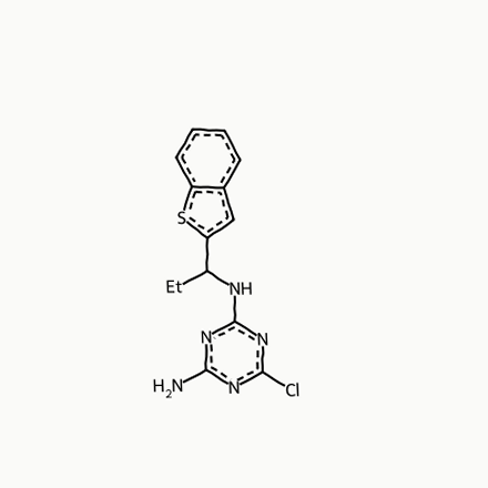 CCC(Nc1nc(N)nc(Cl)n1)c1cc2ccccc2s1